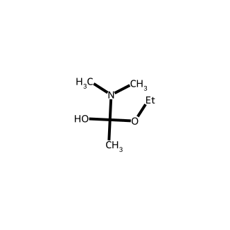 CCOC(C)(O)N(C)C